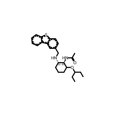 CCC(CC)OC1CCC[C@H](NCc2ccc3sc4ccccc4c3c2)[C@H]1NC(C)=O